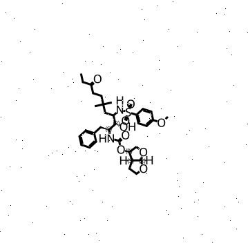 CCC(=O)CCC(C)(C)CC(NS(=O)(=O)c1ccc(OC)cc1)[C@H](O)[C@H](Cc1ccccc1)NC(=O)O[C@H]1CO[C@H]2OCC[C@H]21